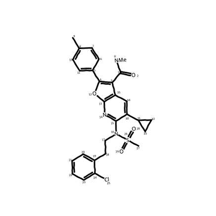 CNC(=O)c1c(-c2ccc(C)cc2)oc2nc(N(CCc3ccccc3Cl)S(C)(=O)=O)c(C3CC3)cc12